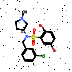 N#CN1CC[C@@H](N(Cc2cccc(Cl)c2)S(=O)(=O)c2cc(Br)ccc2Br)C1